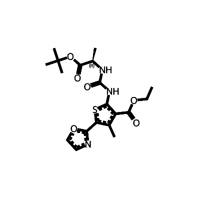 CCOC(=O)c1c(NC(=O)N[C@H](C)C(=O)OC(C)(C)C)sc(-c2ncco2)c1C